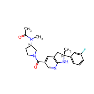 CC(=O)N(C)[C@H]1CCN(C(=O)c2cnc3c(c2)C[C@](C)(c2cccc(F)c2)N3)C1